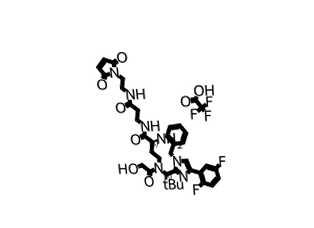 CC(C)(C)[C@H](c1nc(-c2cc(F)ccc2F)cn1Cc1ccccc1)N(CC[C@H](N)C(=O)NCCC(=O)NCCN1C(=O)C=CC1=O)C(=O)CO.O=C(O)C(F)(F)F